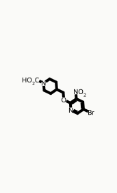 O=C(O)N1CCC(COc2ncc(Br)cc2[N+](=O)[O-])CC1